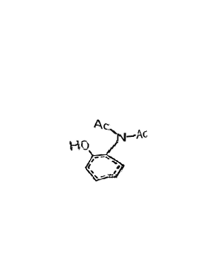 CC(=O)N(C(C)=O)c1ccccc1O